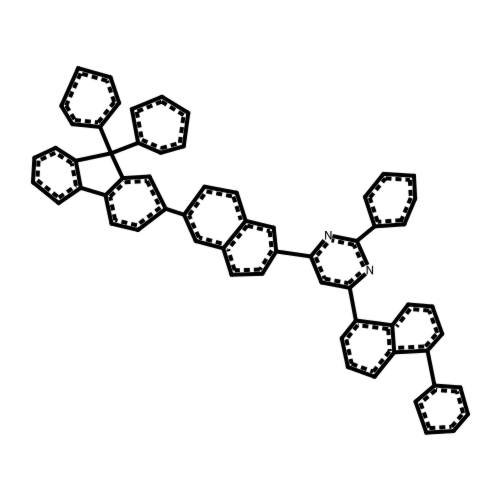 c1ccc(-c2nc(-c3ccc4cc(-c5ccc6c(c5)C(c5ccccc5)(c5ccccc5)c5ccccc5-6)ccc4c3)cc(-c3cccc4c(-c5ccccc5)cccc34)n2)cc1